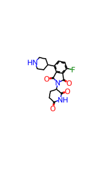 O=C1CCC(N2C(=O)c3c(F)ccc(C4CCNCC4)c3C2=O)C(=O)N1